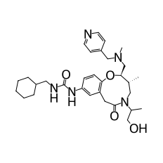 CC(CO)N1C[C@@H](C)[C@H](CN(C)Cc2ccncc2)Oc2ccc(NC(=O)NCC3CCCCC3)cc2CC1=O